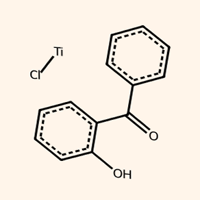 O=C(c1ccccc1)c1ccccc1O.[Cl][Ti]